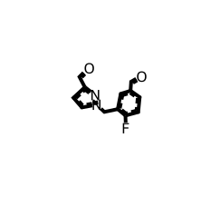 O=Cc1ccc(F)c(Cn2ccc(C=O)n2)c1